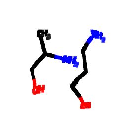 CC(N)CO.NCCCO